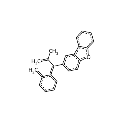 C=C(C)/C(c1ccc2oc3ccccc3c2c1)=c1/ccccc1=C